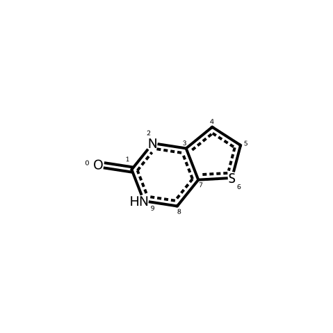 O=c1nc2ccsc2c[nH]1